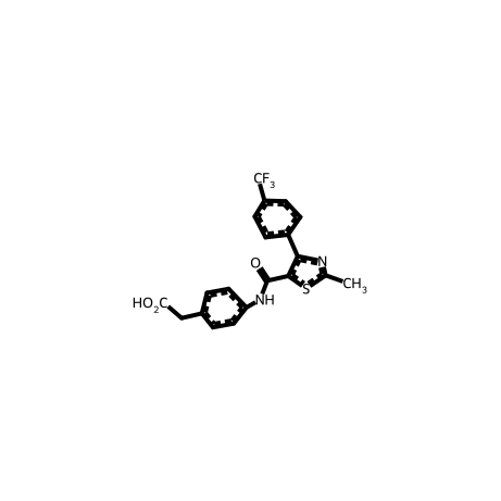 Cc1nc(-c2ccc(C(F)(F)F)cc2)c(C(=O)Nc2ccc(CC(=O)O)cc2)s1